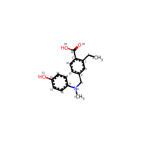 CCc1cc(CN(C)c2ccc(O)cc2)ccc1C(=O)O